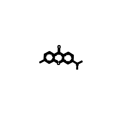 Cc1ccc2c(=O)c3ccc(N(C)C)cc3oc2c1